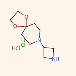 C1COC2(CCN(C3CNC3)CC2)O1.Cl.Cl